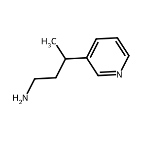 CC(CCN)c1cccnc1